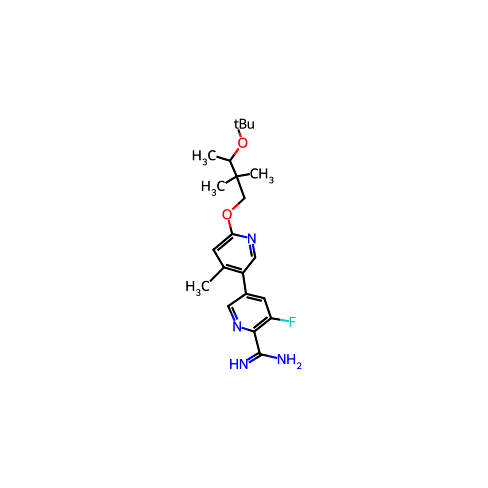 Cc1cc(OCC(C)(C)C(C)OC(C)(C)C)ncc1-c1cnc(C(=N)N)c(F)c1